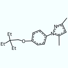 CCC(CC)(CC)COc1ccc(-n2nc(C)cc2C)cc1